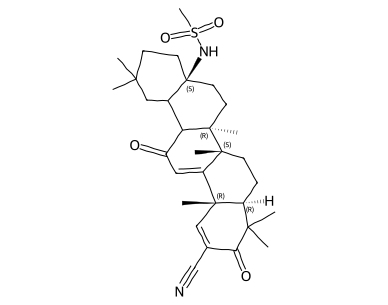 CC1(C)CC[C@]2(NS(C)(=O)=O)CC[C@]3(C)C(C(=O)C=C4[C@@]5(C)C=C(C#N)C(=O)C(C)(C)[C@@H]5CC[C@]43C)C2C1